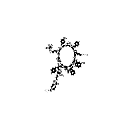 CC(=O)NCCCC[C@H]1C(=O)N[C@@H](Cc2c[nH]c3ccc(O)cc23)C(=O)N[C@@H](Cc2c[nH]c3ccccc23)C(=O)N[C@@H]([C@H](C)O)C(=O)N(C)[C@H](C(=O)N(C)[C@@H](Cc2ccc(F)cc2)C(=O)N[C@@H](CCCCNC(=O)N2CCN(CC(=O)O)CC2)C(N)=O)CNC(=O)CC[C@H](NC(=O)CCN)C(=O)N[C@@H](Cc2ccc(O)cc2)C(=O)N[C@@H](CO)C(=O)N(C)[C@@H](CCc2ccccc2)C(=O)N1C.O=C(O)C(F)(F)F